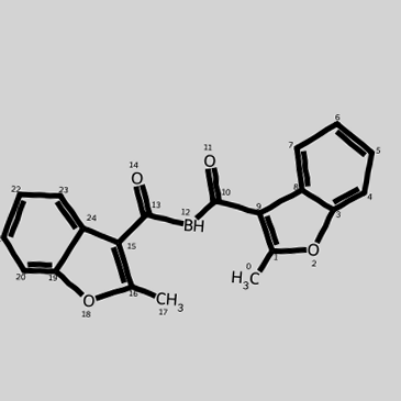 Cc1oc2ccccc2c1C(=O)BC(=O)c1c(C)oc2ccccc12